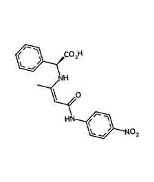 CC(=CC(=O)Nc1ccc([N+](=O)[O-])cc1)N[C@H](C(=O)O)c1ccccc1